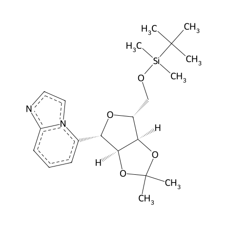 CC1(C)O[C@@H]2[C@H](O1)[C@@H](CO[Si](C)(C)C(C)(C)C)O[C@H]2c1cccc2nccn12